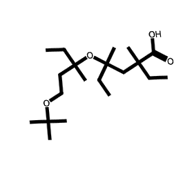 CCC(C)(CCOC(C)(C)C)OC(C)(CC)CC(C)(CC)C(=O)O